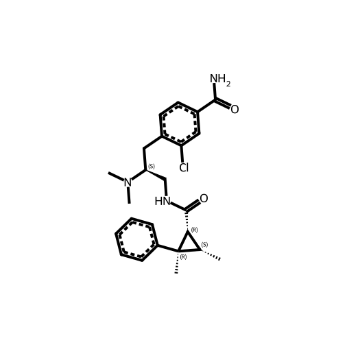 C[C@H]1[C@@H](C(=O)NC[C@H](Cc2ccc(C(N)=O)cc2Cl)N(C)C)[C@]1(C)c1ccccc1